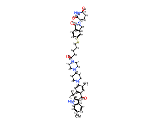 CCc1cc2c(cc1N1CCC(N3CCN(C(=O)CCCCSc4ccc5c(c4)CN(C4CCC(=O)NC4=O)C5=O)CC3)CC1)C(C)(C)c1[nH]c3cc(C#N)ccc3c1C2=O